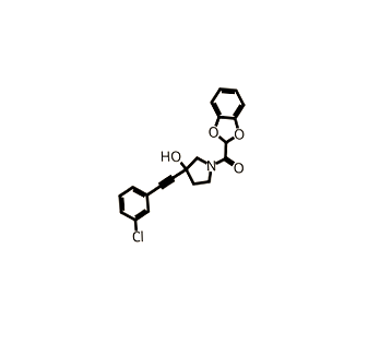 O=C(C1Oc2ccccc2O1)N1CCC(O)(C#Cc2cccc(Cl)c2)C1